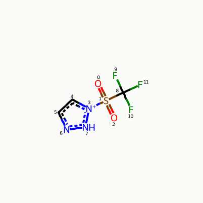 O=S(=O)([n+]1ccn[nH]1)C(F)(F)F